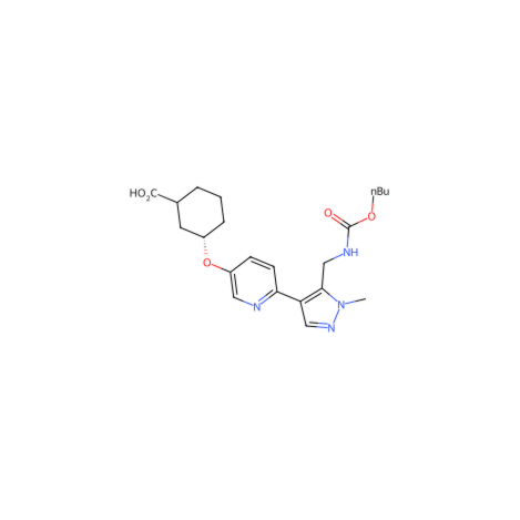 CCCCOC(=O)NCc1c(-c2ccc(O[C@H]3CCCC(C(=O)O)C3)cn2)cnn1C